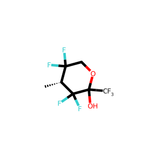 C[C@@H]1C(F)(F)COC(O)(C(F)(F)F)C1(F)F